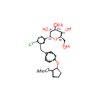 COC1CCCC1Oc1ccc(Cc2cc([C@@H]3O[C@H](CO)[C@@H](O)[C@H](O)[C@H]3O)ccc2Cl)cc1